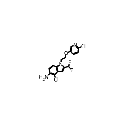 Nc1ccc2c(cc(C(F)F)n2CCOc2ccc(Cl)nc2)c1Cl